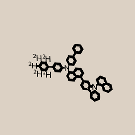 [2H]c1c([2H])c([2H])c(-c2ccc(N(c3ccc(-c4ccccc4)cc3)c3cccc4c(-c5ccc6c7ccccc7n(-c7cccc8ccccc78)c6c5)cccc34)cc2)c([2H])c1[2H]